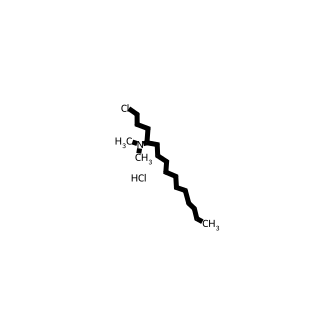 CCCCCCCCCCCC(CCCCl)N(C)C.Cl